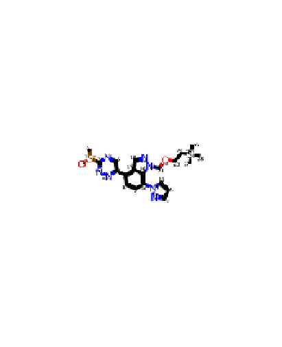 C[S+]([O-])c1ncc(-c2ccc(-n3cccn3)c3c2cnn3COCC[Si](C)(C)C)nn1